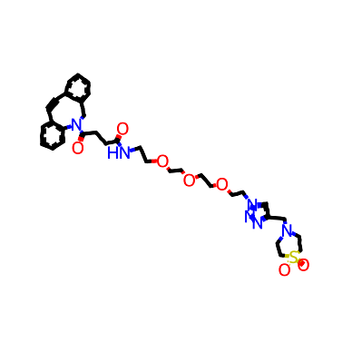 O=C(CCC(=O)N1Cc2ccccc2C#Cc2ccccc21)NCCOCCOCCOCCn1cc(CN2CCS(=O)(=O)CC2)nn1